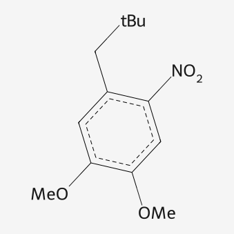 COc1cc(CC(C)(C)C)c([N+](=O)[O-])cc1OC